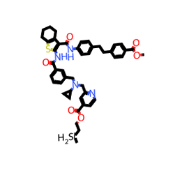 COC(=O)c1ccc(CCc2ccc(NC(=O)c3c(NC(=O)c4cccc(CN(Cc5cc(C(=O)OCC[SiH2]C)ccn5)C5CC5)c4)sc4c3CCCC4)cc2)cc1